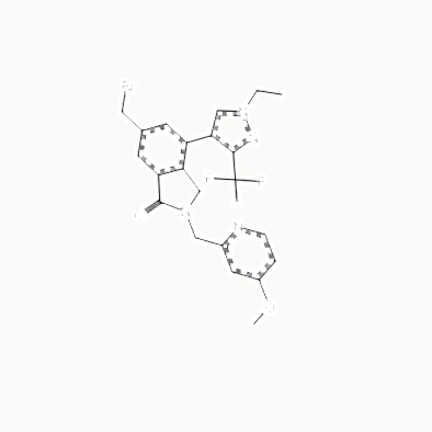 CCn1cc(-c2cc(CBr)cc3c2CN(Cc2cc(OC)ccn2)C3=O)c(C(F)(F)F)n1